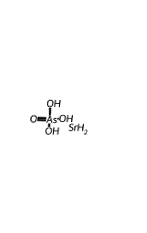 O=[As](O)(O)O.[SrH2]